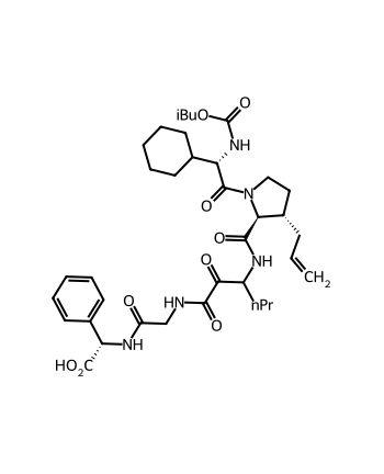 C=CC[C@H]1CCN(C(=O)[C@@H](NC(=O)OCC(C)C)C2CCCCC2)[C@@H]1C(=O)NC(CCC)C(=O)C(=O)NCC(=O)N[C@H](C(=O)O)c1ccccc1